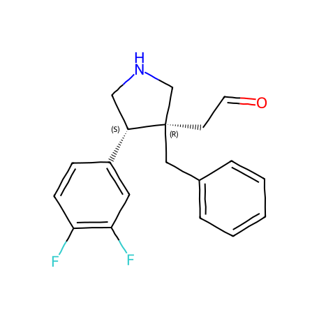 O=CC[C@@]1(Cc2ccccc2)CNC[C@H]1c1ccc(F)c(F)c1